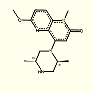 COc1ccc2c(n1)c(N1C[C@@H](C)NC[C@@H]1C)cc(=O)n2C